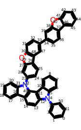 c1ccc(-n2c3ccccc3c3c2ccc2c4ccccc4n(-c4ccc5c(c4)oc4ccc(-c6ccc7c(c6)oc6ccccc67)cc45)c23)cc1